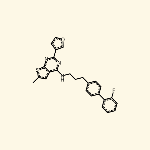 Cc1cc2c(NCCCc3ccc(-c4ccccc4F)cc3)nc(-c3ccoc3)nc2s1